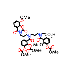 COOc1cccc2c(=O)n(CCCN(CCCN(CC(=O)O)C(=O)c3cccc(OC(=O)OC)c3OC)C(=O)c3cccc(OC(=O)OC)c3OC(=O)OC)c(=O)oc12